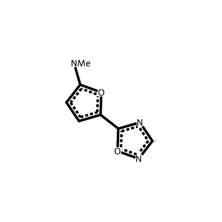 CNc1ccc(-c2n[c]no2)o1